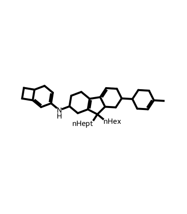 CCCCCCCC1(CCCCCC)C2=C(CCC(NC3=CCC4CCC4=C3)C2)C2=CCC(C3CC=C(C)CC3)CC21